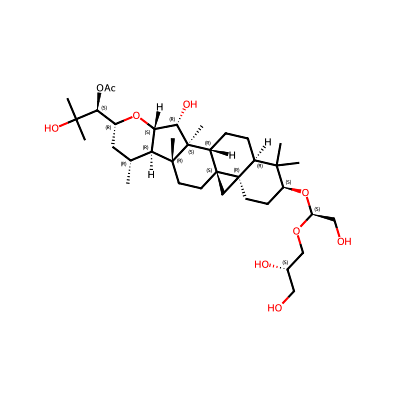 CC(=O)O[C@@H]([C@H]1C[C@@H](C)[C@H]2[C@H](O1)[C@H](O)[C@@]1(C)[C@@H]3CC[C@H]4C(C)(C)[C@@H](O[C@@H](CO)OC[C@@H](O)CO)CC[C@@]45C[C@@]35CC[C@]21C)C(C)(C)O